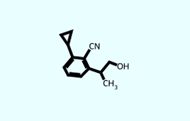 C[C](CO)c1cccc(C2CC2)c1C#N